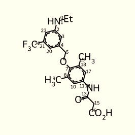 CCNc1cc(COc2c(C)cc(NC(=O)CC(=O)O)cc2C)cc(C(F)(F)F)c1